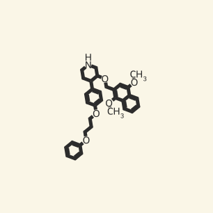 COc1cc(COC2CNCCC2c2ccc(OCCCOc3ccccc3)cc2)c(OC)c2ccccc12